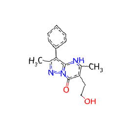 Cc1nn2c(=O)c(CCO)c(C)[nH]c2c1-c1ccccc1